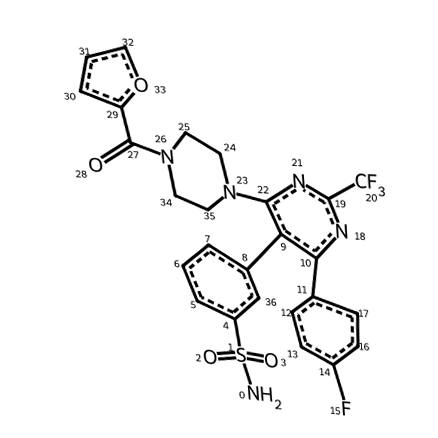 NS(=O)(=O)c1cccc(-c2c(-c3ccc(F)cc3)nc(C(F)(F)F)nc2N2CCN(C(=O)c3ccco3)CC2)c1